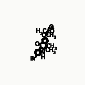 CC1(C)c2ccc(OC(C)(C)C3COCO3)cc2C(=O)c2c1[nH]c1cc(Br)ccc21